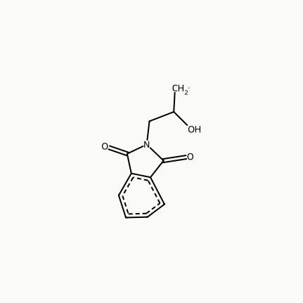 [CH2]C(O)CN1C(=O)c2ccccc2C1=O